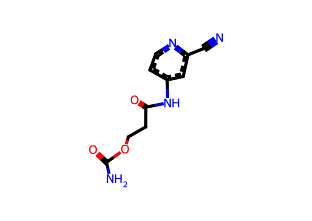 N#Cc1cc(NC(=O)CCOC(N)=O)ccn1